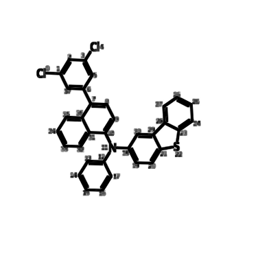 Clc1cc(Cl)cc(-c2ccc(N(c3ccccc3)c3ccc4sc5ccccc5c4c3)c3ccccc23)c1